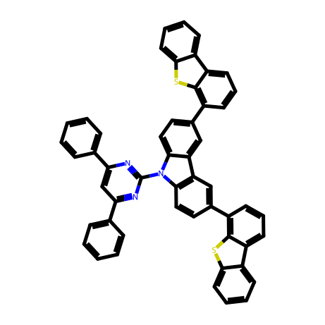 c1ccc(-c2cc(-c3ccccc3)nc(-n3c4ccc(-c5cccc6c5sc5ccccc56)cc4c4cc(-c5cccc6c5sc5ccccc56)ccc43)n2)cc1